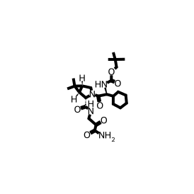 CC(C)(C)COC(=O)N[C@H](C(=O)N1C[C@H]2[C@@H]([C@H]1C(=O)NCC(=O)C(N)=O)C2(C)C)C1CCCCC1